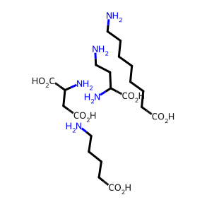 NC(CC(=O)O)C(=O)O.NCCC(N)C(=O)O.NCCCCC(=O)O.NCCCCCCCC(=O)O